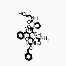 C[C@@H](CO)NC(=O)[C@@H]1CCCN1C(=O)C(O)[C@@H](C(=O)[C@H](CC(N)=O)NC(=O)OCc1ccccc1)C(N)c1ccccc1